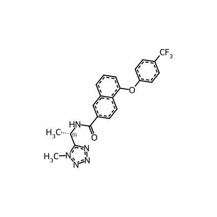 C[C@H](NC(=O)c1ccc2c(Oc3ccc(C(F)(F)F)cc3)cccc2c1)c1nnnn1C